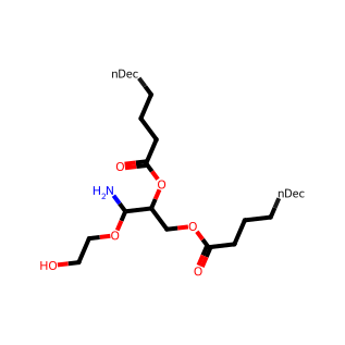 CCCCCCCCCCCCCC(=O)OCC(OC(=O)CCCCCCCCCCCCC)C(N)OCCO